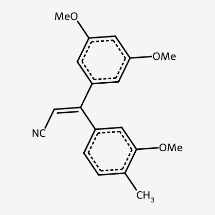 COc1cc(OC)cc(C(=CC#N)c2ccc(C)c(OC)c2)c1